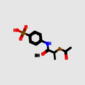 CC(=O)SC(C)C(=O)Nc1ccc(S(=O)(=O)O)cc1.[KH]